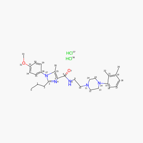 CCCc1nc(C(=O)NCCN2CCN(c3cccc(C)c3C)CC2)c(C)n1-c1ccc(OC)cc1.Cl.Cl